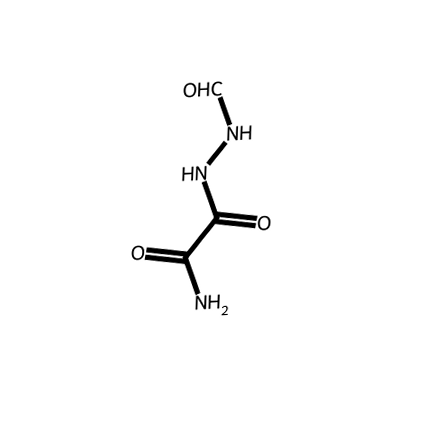 NC(=O)C(=O)NNC=O